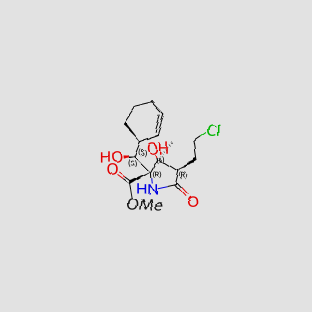 COC(=O)[C@]1([C@@H](O)[C@@H]2C=CCCC2)NC(=O)[C@H](CCCl)[C@]1(C)O